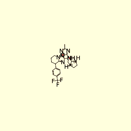 Cc1noc(N2C[C@H]3CC[C@@H](C2)C3Nc2nc3n(n2)CCCC3c2ccc(C(F)(F)F)cc2)n1